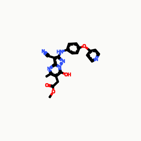 COC(=O)Cc1c(C)nc2c(C#N)c(Nc3ccc(Oc4ccncc4)cc3)nn2c1O